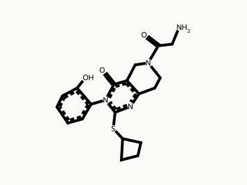 NCC(=O)N1CCc2nc(SC3CCC3)n(-c3ccccc3O)c(=O)c2C1